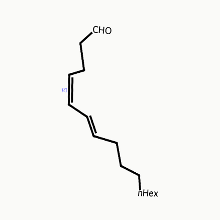 CCCCCCCCCC=C/C=C\CCC=O